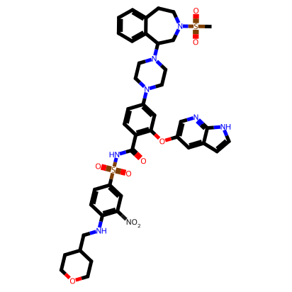 CS(=O)(=O)N1CCc2ccccc2C(N2CCN(c3ccc(C(=O)NS(=O)(=O)c4ccc(NCC5CCOCC5)c([N+](=O)[O-])c4)c(Oc4cnc5[nH]ccc5c4)c3)CC2)C1